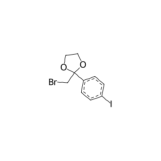 BrCC1(c2ccc(I)cc2)OCCO1